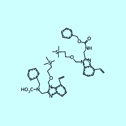 C=Cc1cccc2c1nc(CNC(=O)OCc1ccccc1)n2COCC[Si](C)(C)C.C=Cc1cccc2nc(CN(Cc3ccccc3)C(=O)O)n(COCC[Si](C)(C)C)c12